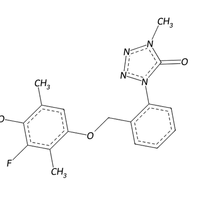 Cc1cc(OCc2ccccc2-n2nnn(C)c2=O)c(C)c(F)c1O